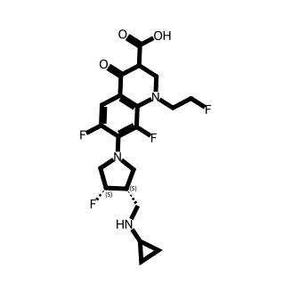 O=C(O)C1CN(CCF)c2c(cc(F)c(N3C[C@H](CNC4CC4)[C@H](F)C3)c2F)C1=O